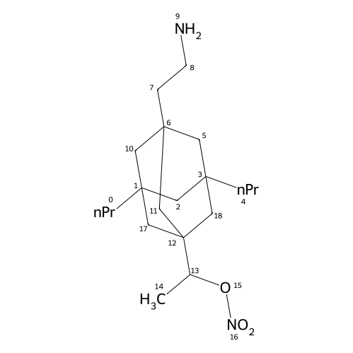 CCCC12CC3(CCC)CC(CCN)(C1)CC(C(C)O[N+](=O)[O-])(C2)C3